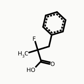 CC(F)(Cc1ccccc1)C(=O)O